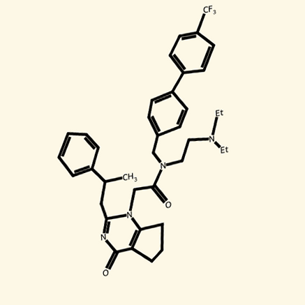 CCN(CC)CCN(Cc1ccc(-c2ccc(C(F)(F)F)cc2)cc1)C(=O)Cn1c(CC(C)c2ccccc2)nc(=O)c2c1CCC2